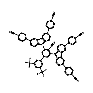 N#Cc1ccc(-c2ccc3c(c2)c2cc(-c4ccc(C#N)cc4)ccc2n3-c2cc(-c3cc(C(F)(F)F)cc(C(F)(F)F)c3)cc(-n3c4ccc(-c5ccc(C#N)cc5)cc4c4cc(-c5ccc(C#N)cc5)ccc43)c2C#N)cc1